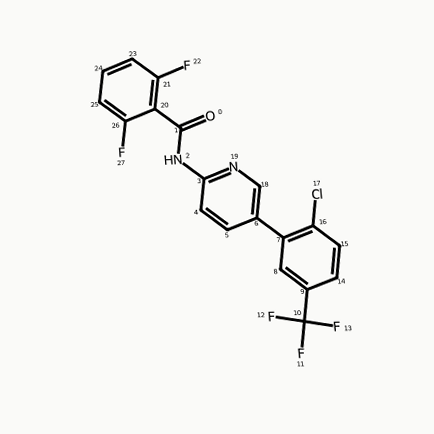 O=C(Nc1ccc(-c2cc(C(F)(F)F)ccc2Cl)cn1)c1c(F)cccc1F